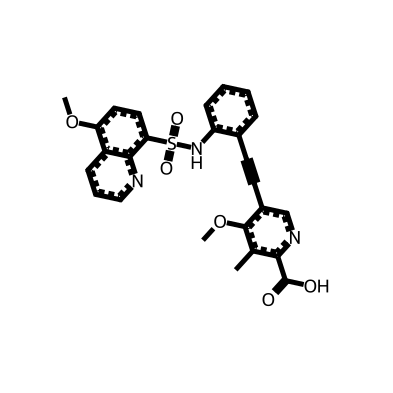 COc1c(C#Cc2ccccc2NS(=O)(=O)c2ccc(OC)c3cccnc23)cnc(C(=O)O)c1C